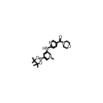 CN1C=C(B2OC(C)(C)C(C)(C)O2)C=C(Nc2ccc(C(=O)N3CCOCC3)cn2)C1